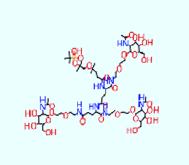 CC(=O)NC1C(OCCOCCNC(=O)CCC(NC(=O)CCC(NC(=O)CCC(C)(C)OCC(C)(C)OP(=O)(O)C(C)(C)C)C(=O)NCCOCCOC2OC(CO)C(O)C(O)C2NC(C)=O)C(=O)NCCOCCOC2OC(CO)C(O)C(O)C2NC(C)=O)OC(CO)C(O)C1O